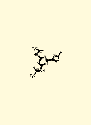 Cc1nc(-c2nc(N[C@H](C)C(F)(F)F)nc(N[C@H](C)C(F)(F)F)n2)cs1